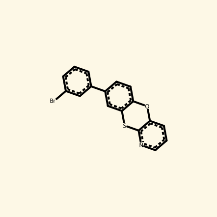 Brc1cccc(-c2ccc3c(c2)Sc2ncccc2O3)c1